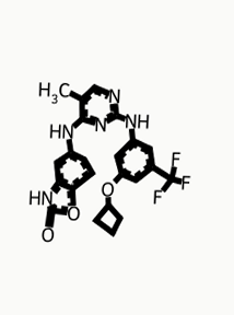 Cc1cnc(Nc2cc(OC3CCC3)cc(C(F)(F)F)c2)nc1Nc1ccc2oc(=O)[nH]c2c1